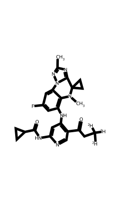 [2H]C([2H])([2H])CC(=O)c1cnc(NC(=O)C2CC2)cc1Nc1cc(F)cc2c1N(C)C1(CC1)c1nc(C)nn1-2